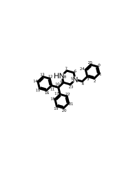 c1ccc(CN2CCNC(C(c3ccccc3)c3ccccc3)C2)cc1